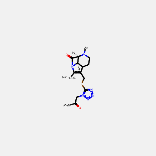 CNC(=O)Cn1nnnc1SCC1=C(C(=O)[O-])N2C(=O)[C@@H]3[C@H]2C1CCN3C(C)=O.[Na+]